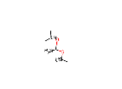 C[SiH](C)OC([SiH3])O[SiH](C)C